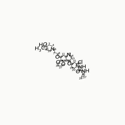 CC1(O)CCN(CCCOc2cc3nccc(Oc4ccc(NC(=O)NC5CC5)c(Cl)c4)c3c3c2OCCO3)CC1